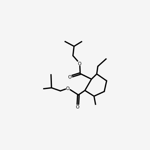 CCC1CCC(C)C(C(=O)OCC(C)C)C1C(=O)OCC(C)C